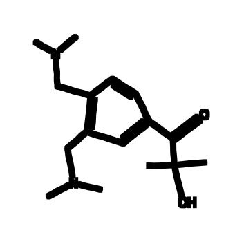 CN(C)Cc1ccc(C(=O)C(C)(C)O)cc1CN(C)C